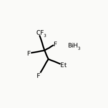 CCC(F)C(F)(F)C(F)(F)F.[BiH3]